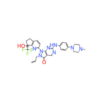 C=CCn1c(=O)c2cnc(Nc3ccc(N4CCN(C)CC4)cc3)nc2n1-c1ccc2c(n1)[C@@](O)(C(F)(F)F)CC2